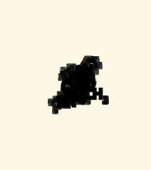 Cc1cc2nc(N3C4CCC3CC(NCc3c(-c5c(Cl)cccc5Cl)noc3C3CC3)C4)sc2cc1C(=O)NS(=O)(=O)N1CCCCC1